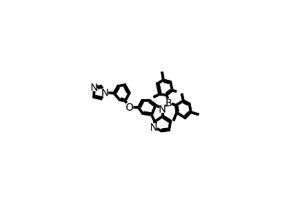 Cc1cc(C)c(B(c2c(C)cc(C)cc2C)n2c3ccc(Oc4cccc(-n5ccnc5)c4)cc3c3ncccc32)c(C)c1